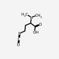 CN(C)C(CCN=C=O)C(=O)O